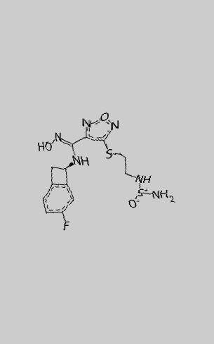 N[S+]([O-])NCCSc1nonc1/C(=N/O)N[C@@H]1Cc2ccc(F)cc21